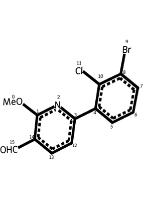 COc1nc(-c2cccc(Br)c2Cl)ccc1C=O